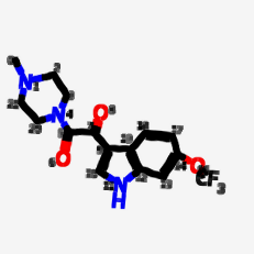 CN1CCN(C(=O)C(=O)c2c[nH]c3cc(OC(F)(F)F)ccc23)CC1